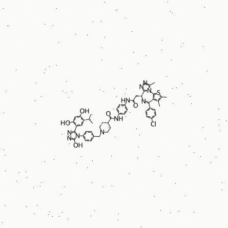 Cc1sc2c(c1C)C(c1ccc(Cl)cc1)=N[C@@H](CC(=O)Nc1ccc(NC(=O)C3CCN(Cc4ccc(-n5c(O)nnc5-c5cc(C(C)C)c(O)cc5O)cc4)CC3)cc1)c1nnc(C)n1-2